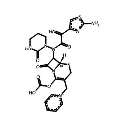 N=C(C(=O)N(C1C(=O)N2C(OC(=O)O)=C(C[n+]3ccccc3)CS[C@@H]12)N1CCCNC1=O)c1csc(N)n1